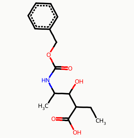 CCC(C(=O)O)C(O)C(C)NC(=O)OCc1ccccc1